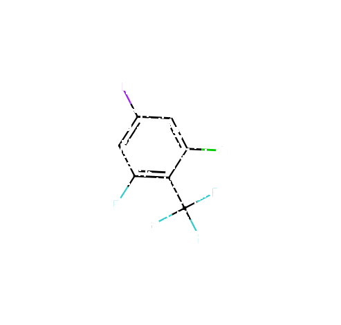 Fc1cc(I)cc(Cl)c1C(F)(F)F